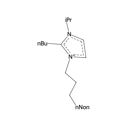 CCCCCCCCCCCC[n+]1ccn(C(C)C)c1CCCC